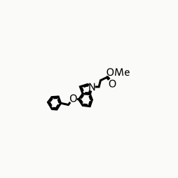 COC(=O)CCn1ccc2c(OCc3ccccc3)cccc21